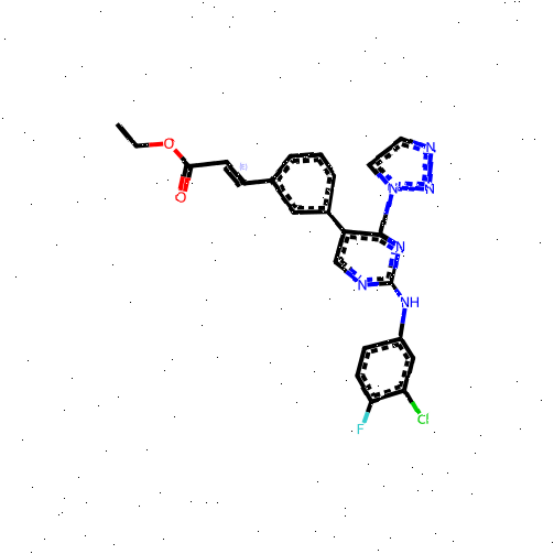 CCOC(=O)/C=C/c1cccc(-c2cnc(Nc3ccc(F)c(Cl)c3)nc2-n2ccnn2)c1